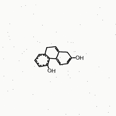 OC1=CC=C2C(=CCc3cccc(O)c32)C1